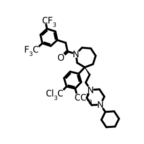 O=C(Cc1cc(C(F)(F)F)cc(C(F)(F)F)c1)N1CCCC[C@](CCN2CCN(C3CCCCC3)CC2)(c2ccc(C(Cl)(Cl)Cl)c(C(Cl)(Cl)Cl)c2)C1